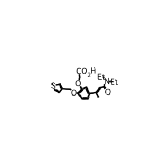 CCN(CC)C(=O)C=C(C)c1ccc(OCc2ccsc2)c(OCC(=O)O)c1